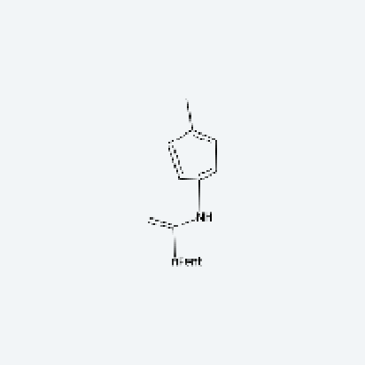 C=C(CCCCC)Nc1ccc(C)cc1